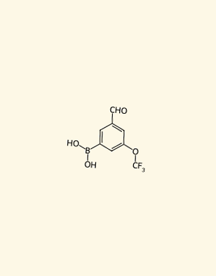 O=Cc1cc(OC(F)(F)F)cc(B(O)O)c1